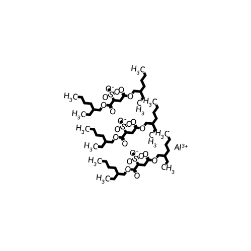 CCCCC(CC)COC(=O)CC(C(=O)OCC(CC)CCCC)S(=O)(=O)[O-].CCCCC(CC)COC(=O)CC(C(=O)OCC(CC)CCCC)S(=O)(=O)[O-].CCCCC(CC)COC(=O)CC(C(=O)OCC(CC)CCCC)S(=O)(=O)[O-].[Al+3]